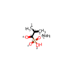 C=C(C)C(=O)S(=O)(=O)O.[NaH]